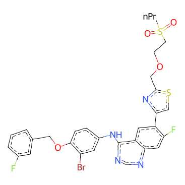 CCCS(=O)(=O)CCOCc1nc(-c2cc3c(Nc4ccc(OCc5cccc(F)c5)c(Br)c4)ncnc3cc2F)cs1